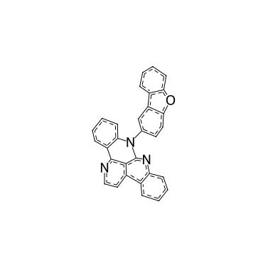 c1ccc2c(c1)-c1nccc3c1c(nc1ccccc13)N2c1ccc2oc3ccccc3c2c1